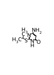 CC(C)Sc1nc(N)cc(=O)[nH]1